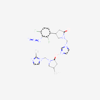 CCCC1CC(=O)N(Cn2ccnc2CC)C1.[N-]=[N+]=Nc1c(F)ccc(C2CC(=O)N(Cn3ccnc3)C2)c1F